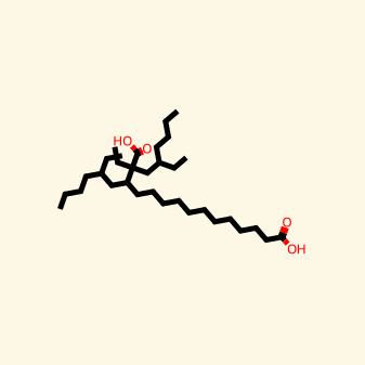 CCCCC(CC)CC(CCCCCCCCCCCC(=O)O)C(CC)(CC(CC)CCCC)C(=O)O